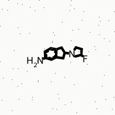 Nc1ccc2c(c1)CC(N1CCC(F)C1)C2